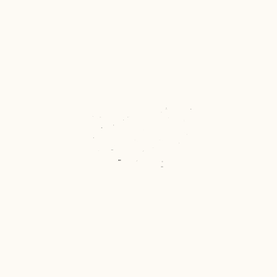 O=C(O)c1cc(I)c(O)c(I)c1CCc1c(C(=O)O)cc(I)c(O)c1I